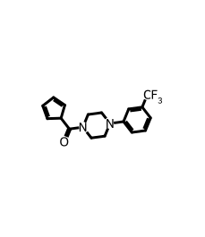 O=C(C1C=CC=C1)N1CCN(c2cccc(C(F)(F)F)c2)CC1